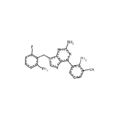 N#Cc1cccc(-c2nc(N)nc3c2ncn3Cc2c(F)cccc2P)c1P